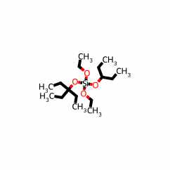 CCO[Si](OCC)(OC(CC)CC)OC(CC)(CC)CC